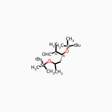 CC(C[C@@H](O[Si](C)(C)C(C)(C)C)[C@H](C)C=O)O[Si](C)(C)C(C)(C)C